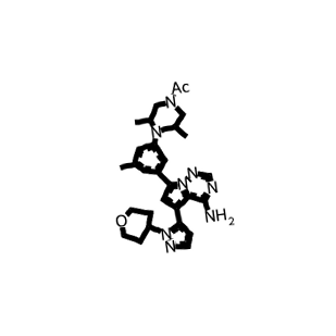 CC(=O)N1CC(C)N(c2cc(C)cc(-c3cc(-c4ccnn4C4CCOCC4)c4c(N)ncnn34)c2)C(C)C1